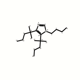 CCCCn1cnc(C(C)(C)CCC)c1C(C)(C)CCC